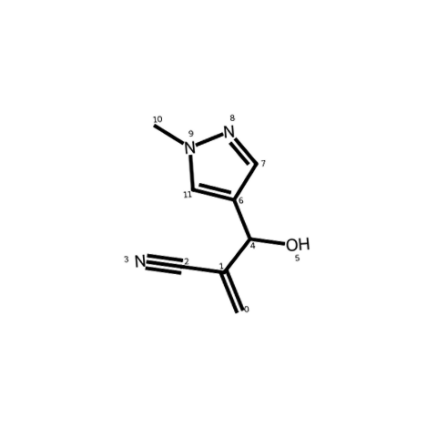 C=C(C#N)C(O)c1cnn(C)c1